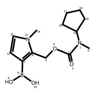 CN(C(=O)OCc1c(B(O)O)ccn1C)C1CCCC1